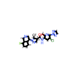 Cc1nc(-n2nccn2)c(Cl)cc1NC(O)c1cnn(-c2cncc3c(F)cccc23)c1C(F)(F)F